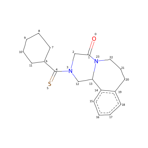 O=C1CN(C(=S)C2CCCCC2)CC2c3ccccc3CCCN12